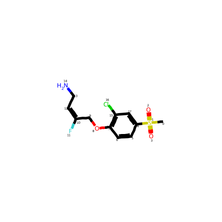 CS(=O)(=O)c1ccc(OC/C(F)=C\CN)c(Cl)c1